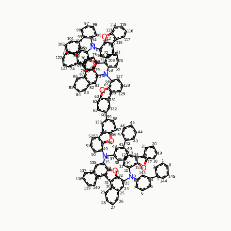 c1ccc(-c2cccc(N(c3cccc4c3oc3ccccc34)c3cc4ccccc4c4c3oc3c(N(c5cccc(-c6ccccc6)c5)c5cccc6c5oc5ccc(-c7ccc8oc9c(N(c%10ccccc%10-c%10ccccc%10)c%10cc%11ccccc%11c%11c%10oc%10c(N(c%12ccccc%12-c%12ccccc%12)c%12cccc%13c%12oc%12ccccc%12%13)cc%12ccccc%12c%10%11)cccc9c8c7)cc56)cc5ccccc5c34)c2)cc1